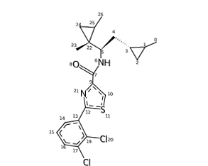 CC1C[C@@H]1C[C@@H](NC(=O)c1csc(-c2cccc(Cl)c2Cl)n1)[C@]1(C)CC1C